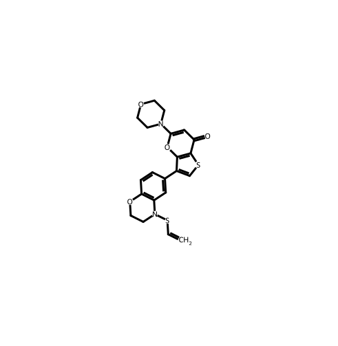 C=CSN1CCOc2ccc(-c3csc4c(=O)cc(N5CCOCC5)oc34)cc21